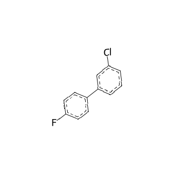 Fc1ccc(-c2cccc(Cl)c2)cc1